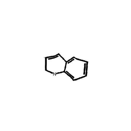 [C]1=Cc2ccccc2[N]C1